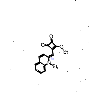 CCOc1c(/C=C2\C=Cc3ccccc3N2CC)c(=O)c1=O